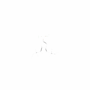 CCC(C)(C)c1sc(C(C)(C)CC)c2sc(S(F)(F)F)cc12